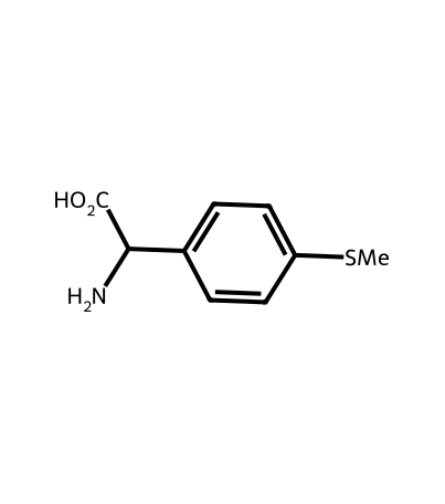 CSc1ccc(C(N)C(=O)O)cc1